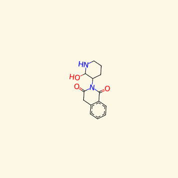 O=C1Cc2ccccc2C(=O)N1C1CCCNC1O